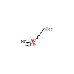 CCCCCCCCCCCCCCCCCCS(=O)(=O)c1cc[c]c(C#N)c1